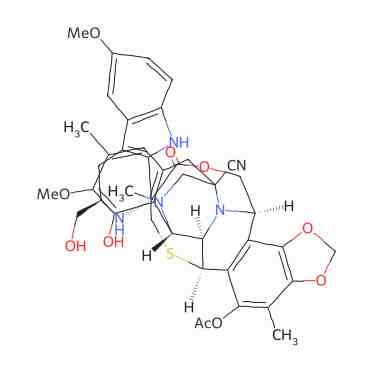 COc1ccc2[nH]c3c(c2c1)C[C@H](CO)N[C@]31CS[C@@H]2c3c(OC(C)=O)c(C)c4c(c3[C@H](COC1=O)N1[C@@H]2[C@@H]2c3c(cc(C)c(OC)c3O)CC1(C#N)CN2C)OCO4